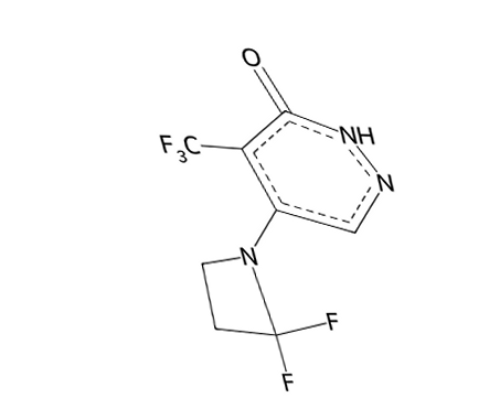 O=c1[nH]ncc(N2CCC2(F)F)c1C(F)(F)F